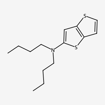 CCCCN(CCCC)c1cc2sccc2s1